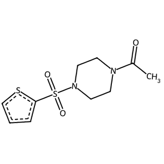 CC(=O)N1CCN(S(=O)(=O)c2cccs2)CC1